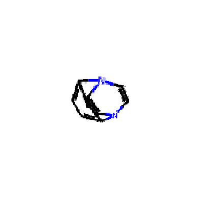 [c]1cn2[c]cn1c1ccc2cc1